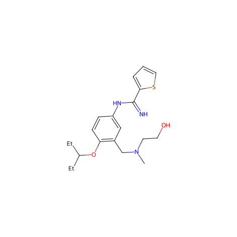 CCC(CC)Oc1ccc(NC(=N)c2cccs2)cc1CN(C)CCO